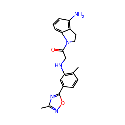 Cc1noc(-c2ccc(C)c(NCC(=O)N3CCc4c(N)cccc43)c2)n1